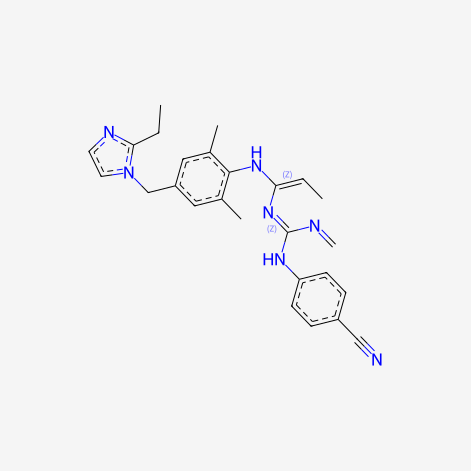 C=N/C(=N\C(=C/C)Nc1c(C)cc(Cn2ccnc2CC)cc1C)Nc1ccc(C#N)cc1